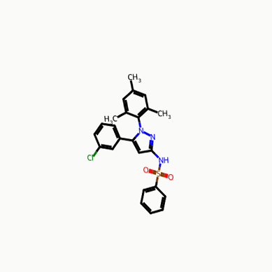 Cc1cc(C)c(-n2nc(NS(=O)(=O)c3ccccc3)cc2-c2cccc(Cl)c2)c(C)c1